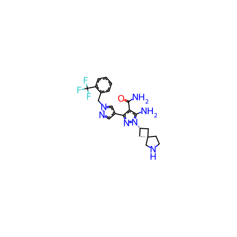 NC(=O)c1c(-c2cnn(Cc3ccccc3C(F)(F)F)c2)nn([C@H]2C[C@@]3(CCNC3)C2)c1N